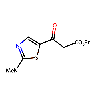 CCOC(=O)CC(=O)c1cnc(NC)s1